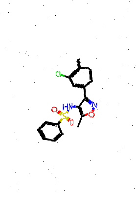 Cc1ccc(-c2noc(C)c2NS(=O)(=O)c2ccccc2)cc1Cl